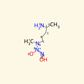 CC(N)CCCN(C)/[N+]([O-])=N/O